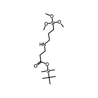 CO[Si](CCCNCCC(=O)O[Si](C)(C)C(C)(C)C)(OC)OC